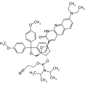 CCN(CC)c1ccc2cc3cc([C@H]4C[C@H](OP(OCCC#N)N(C(C)C)C(C)C)[C@@H](COC(c5ccccc5)(c5ccc(OC)cc5)c5ccc(OC)cc5)O4)c(=O)[nH]c3nc2c1